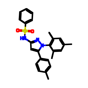 Cc1ccc(-c2cc(NS(=O)(=O)c3ccccc3)nn2-c2c(C)cc(C)cc2C)cc1